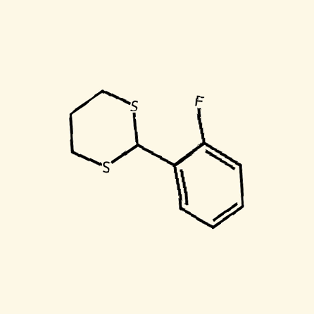 Fc1ccccc1C1SCCCS1